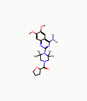 [2H]N([2H])c1nc(N2C([2H])([2H])CN(C(=O)C3CCCO3)CC2([2H])[2H])nc2cc(OC)c(OC)cc12